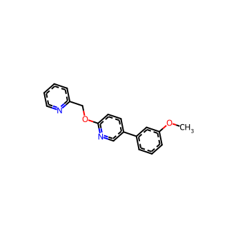 COc1cccc(-c2ccc(OCc3ccccn3)nc2)c1